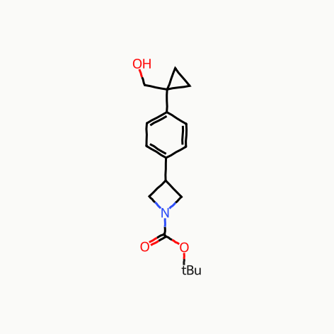 CC(C)(C)OC(=O)N1CC(c2ccc(C3(CO)CC3)cc2)C1